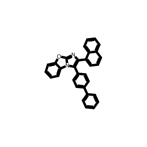 c1ccc(-c2ccc(-c3c(-c4cccc5ccccc45)nc4oc5ccccc5n34)cc2)cc1